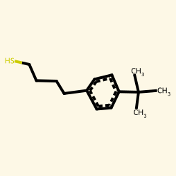 CC(C)(C)c1ccc(CCCCS)cc1